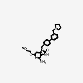 COCCOc1cc2c([nH]c(=O)n2Cc2ccc(-c3cccc(CN4CCCC4)c3)cc2)c(N)n1